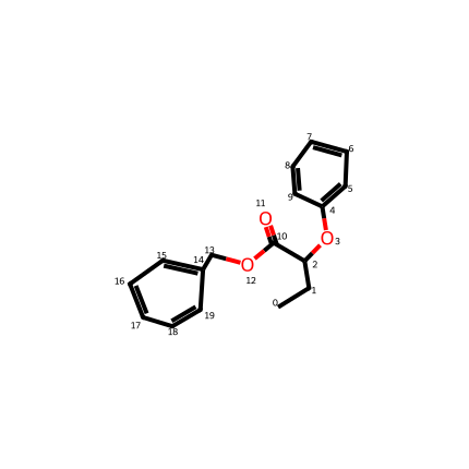 CCC(Oc1ccccc1)C(=O)OCc1ccccc1